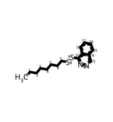 CCCCCCCCSSc1nncc2ccccc12